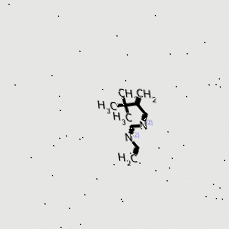 C=C/N=C\N=C/C(=C)C(C)(C)C